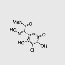 CNC(=O)C(=NO)c1cc(=O)c(O)c(Cl)n1O